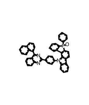 O=P1(c2ccccc2)c2ccccc2-c2c1ccc1c3ccccc3n(-c3ccc(-c4nc(-c5cccc6ccccc56)c5ccccc5n4)cc3)c21